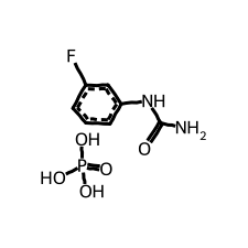 NC(=O)Nc1cccc(F)c1.O=P(O)(O)O